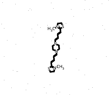 C[N+]1=C(C=CC=CN2CCN(C=CC=CC3=[N+](C)CCS3)CC2)SCC1